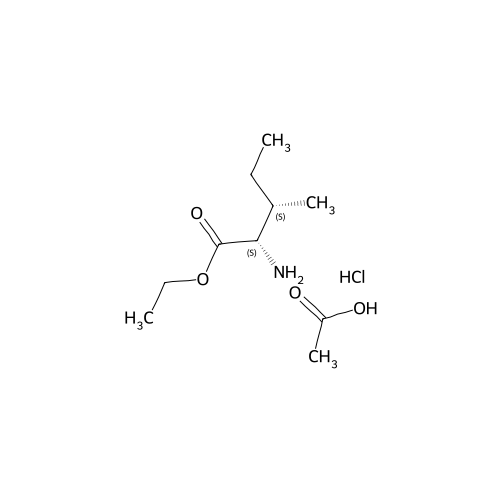 CC(=O)O.CCOC(=O)[C@@H](N)[C@@H](C)CC.Cl